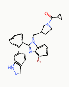 O=C(C1CC1)N1CC[C@@H](Cn2c(-c3ccccc3-c3ccc4cn[nH]c4c3)nc3c(Br)cccc32)C1